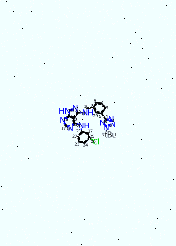 CC(C)(C)n1nnc(-c2cccc(CNc3n[nH]c4ncnc(Nc5cccc(Cl)c5)c34)c2)n1